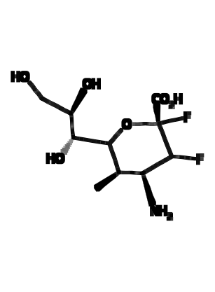 C[C@H]1C([C@H](O)[C@H](O)CO)O[C@@](F)(C(=O)O)C(F)[C@H]1N